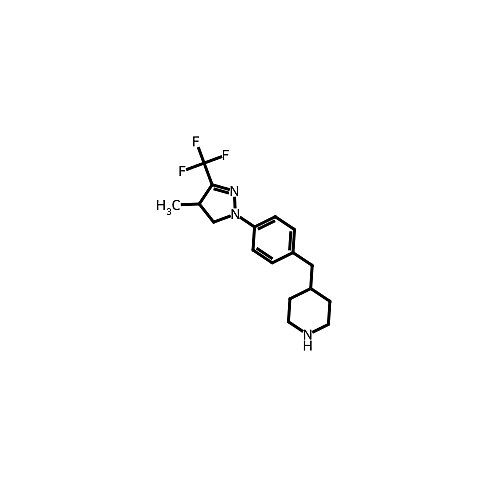 CC1CN(c2ccc(CC3CCNCC3)cc2)N=C1C(F)(F)F